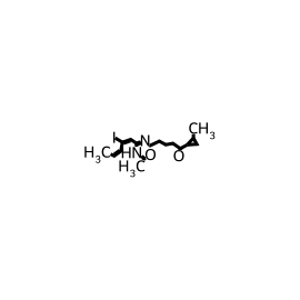 C\C=C/C(I)=C\C(=N\CCCCC(=O)C1CC1C)NC(C)=O